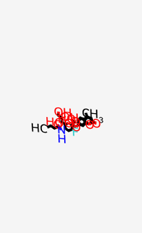 C#CCCC(=O)NC1CC(F)C(Oc2ccc3c(C)cc(=O)oc3c2)(C(=O)O)OC1[C@H](O)[C@H](O)CO